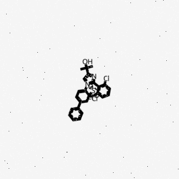 CC(C)(O)c1cn(C2=CC=C(c3ccccc3)CC2(Cl)S(C)(=O)=O)c(-c2c(Cl)cccc2Cl)n1